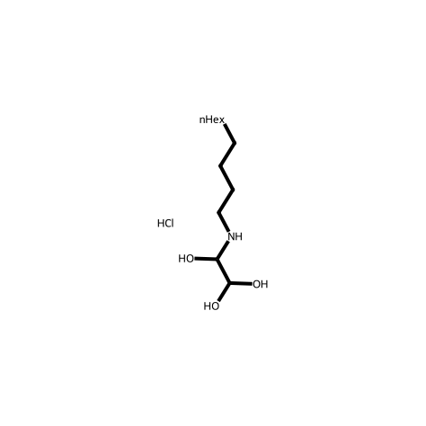 CCCCCCCCCCNC(O)C(O)O.Cl